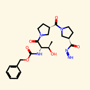 C[C@@H](O)[C@H](NC(=O)OCc1ccccc1)C(=O)N1CC[C@H](C(=O)N2CC[C@H](C(=O)N=N)C2)C1